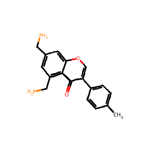 Cc1ccc(-c2coc3cc(CP)cc(CP)c3c2=O)cc1